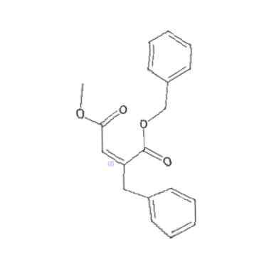 COC(=O)/C=C(/Cc1ccccc1)C(=O)OCc1ccccc1